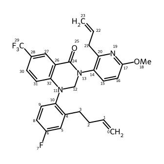 C=CCCc1cc(F)ccc1N1CN(c2ccc(OC)nc2CC=C)C(=O)c2cc(C(F)(F)F)ccc21